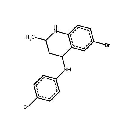 CC1CC(Nc2ccc(Br)cc2)c2cc(Br)ccc2N1